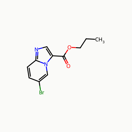 CCCOC(=O)c1cnc2ccc(Br)cn12